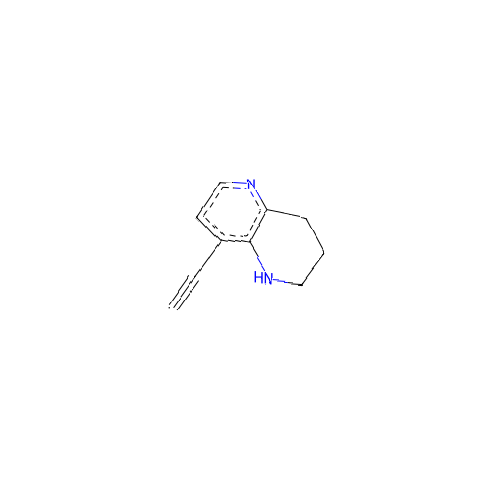 [C]#Cc1ccnc2c1NCCC2